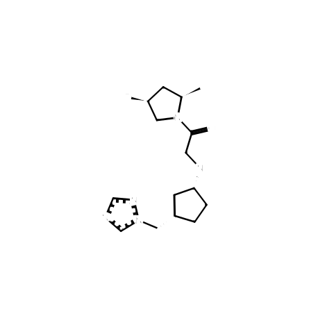 C[C@@H]1C[C@H](F)CN1C(=O)CN[C@@H]1CC[C@H](Cn2cncn2)C1